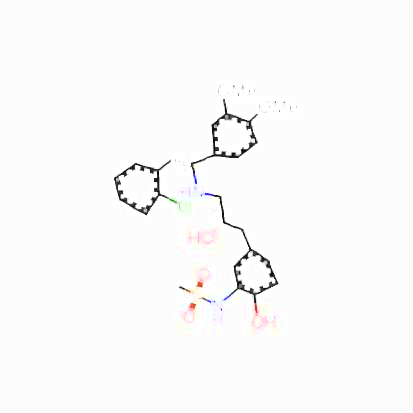 COc1ccc([C@@H](Cc2ccccc2Cl)NC[C@@H](O)Cc2ccc(O)c(NS(C)(=O)=O)c2)cc1OC